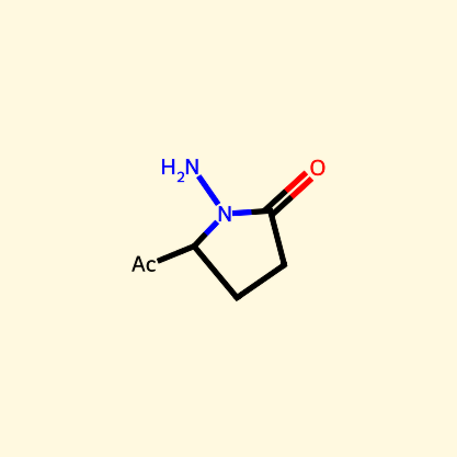 CC(=O)C1CCC(=O)N1N